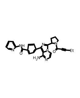 CCC#CC(=O)N1CCCC1c1nc(-c2ccc(C(=O)Nc3ccccn3)cc2)c2c(N)nccn12